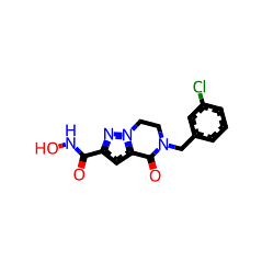 O=C(NO)c1cc2n(n1)CCN(Cc1cccc(Cl)c1)C2=O